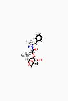 CC(=O)N[C@H]1[C@@H]2OC[C@@H](O2)[C@@H](O)[C@@H]1O[C@H](C)C(=O)N[C@H](C)Cc1ccccc1